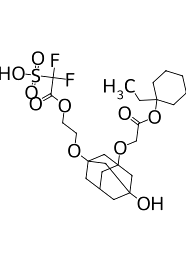 CCC1(OC(=O)COC23CC4CC(O)(CC(OCCOC(=O)C(F)(F)S(=O)(=O)O)(C4)C2)C3)CCCCC1